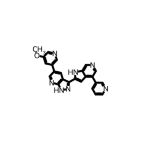 COc1cncc(-c2cnc3[nH]nc(-c4cc5c(-c6cccnc6)cncc5[nH]4)c3c2)c1